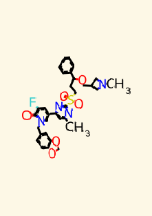 Cc1cc(-c2cc(F)c(=O)n(Cc3ccc4c(c3)OCO4)c2)nc(S(=O)(=O)CCC(OCC2CN(C)C2)c2ccccc2)n1